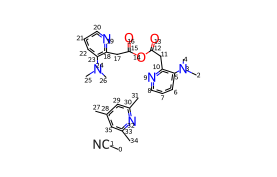 CC#N.CN(C)c1cccnc1CC(=O)OC(=O)Cc1ncccc1N(C)C.Cc1cc(C)nc(C)c1